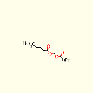 CCCC(=O)OCOC(=O)CCCC(=O)O